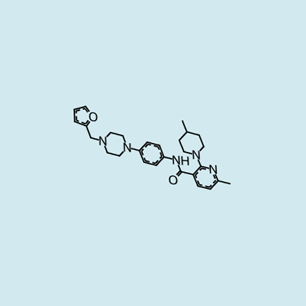 Cc1ccc(C(=O)Nc2ccc(N3CCN(Cc4ccco4)CC3)cc2)c(N2CCC(C)CC2)n1